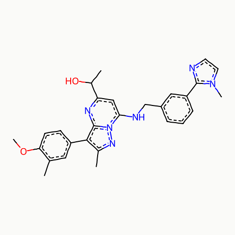 COc1ccc(-c2c(C)nn3c(NCc4cccc(-c5nccn5C)c4)cc(C(C)O)nc23)cc1C